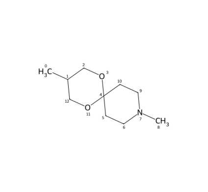 CC1COC2(CCN(C)CC2)OC1